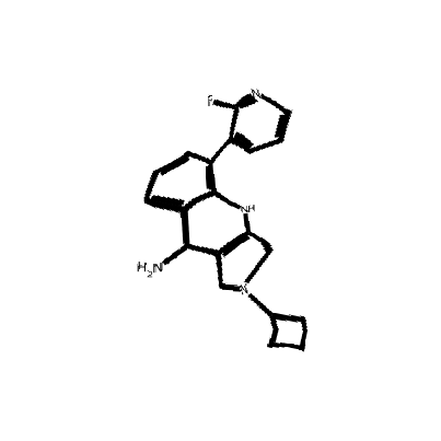 NC1C2=C(CN(C3CCC3)C2)Nc2c(-c3cccnc3F)cccc21